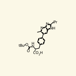 Cc1nc2nc(C(C)C)[nH]c2cc1-c1ccc(C[C@H](NC(=O)OC(C)(C)C)C(=O)O)cc1